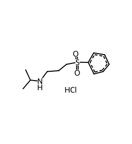 CC(C)NCCCS(=O)(=O)c1ccccc1.Cl